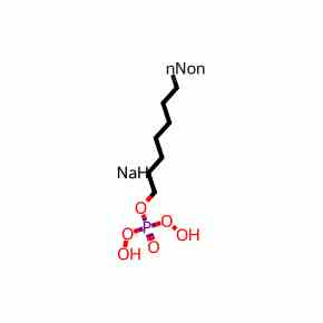 CCCCCCCCCCCCCCCCOP(=O)(OO)OO.[NaH]